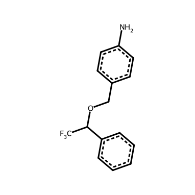 Nc1ccc(COC(c2ccccc2)C(F)(F)F)cc1